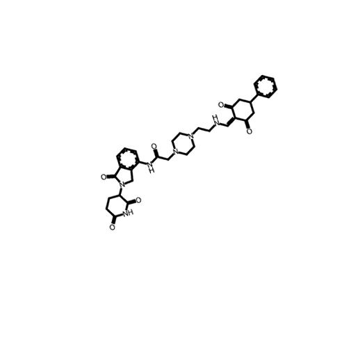 O=C1CCC(N2Cc3c(NC(=O)CN4CCN(CCNC=C5C(=O)CC(c6ccccc6)CC5=O)CC4)cccc3C2=O)C(=O)N1